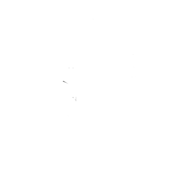 C[C@@H](CC(O)(c1ccc(S(C)(=O)=O)cc1)c1ccc(S(C)(=O)=O)cc1)NC[C@H](O)COc1ccccc1